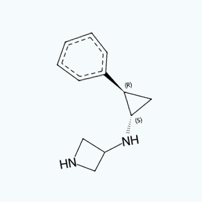 c1ccc([C@H]2C[C@@H]2NC2CNC2)cc1